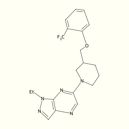 CCn1ncc2ncc(N3CCCC(COc4ccccc4C(F)(F)F)C3)nc21